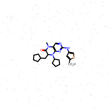 CN1C(=O)C(CC2CCCC2)N(C2CCCC2)c2nc(Nc3csc(C(=O)O)c3)ncc21